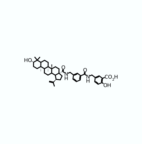 C=C(C)[C@@H]1CC[C@]2(C(=O)NCc3cccc(C(=O)NCc4ccc(O)c(C(=O)O)c4)c3)CC[C@]3(C)C(CCC4[C@@]5(C)CC[C@H](O)C(C)(C)C5CC[C@]43C)C12